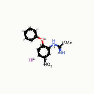 CSC(=N)Nc1cc([N+](=O)[O-])ccc1Oc1ccccc1.I